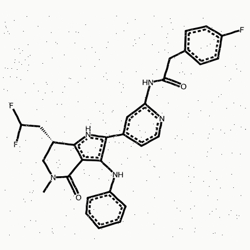 CN1C[C@H](CC(F)F)c2[nH]c(-c3ccnc(NC(=O)Cc4ccc(F)cc4)c3)c(Nc3ccccc3)c2C1=O